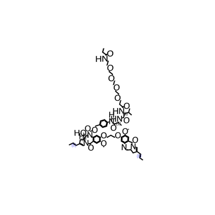 C/C=C/C1=CN2C(=O)c3cc(OC)c(OCCCOc4cc5c(cc4OC)C(=O)N4C=C(/C=C/C)C[C@H]4[C@H](O)N5C(=O)OCc4ccc(NC(=O)[C@H](C)NC(=O)[C@@H](NC(=O)CCOCCOCCOCCOCCNC(=O)CC)C(C)C)cc4)cc3N=CC2C1